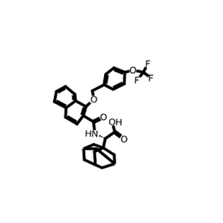 O=C(N[C@H](C(=O)O)C12CC3CC(CC(C3)C1)C2)c1ccc2ccccc2c1OCc1ccc(OC(F)(F)F)cc1